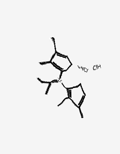 CC1=CC[C]([Zr]([C]2=C(C)C(C)=CC2)=[C](C)C)=C1C.Cl.Cl